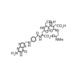 CNC(=O)CC1CN1C(=O)[C@H](CC(=O)O)NC(=O)[C@H](CC(=O)O)NC(=O)C[C@H](NC(=O)c1ccc(NCc2cnc3nc(N)[nH]c(=O)c3n2)cc1)C(=O)O